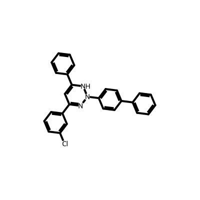 Clc1cccc(C2=NN(c3ccc(-c4ccccc4)cc3)NC(c3ccccc3)=C2)c1